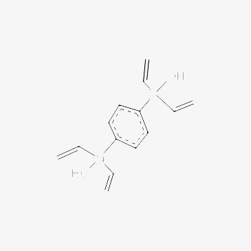 C=C[Si](O)(C=C)c1ccc([Si](O)(C=C)C=C)cc1